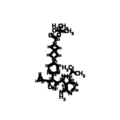 CC(C)n1nc(-c2noc(C3CC3)c2-c2ncc(N3CC4(CN(C(=O)OC(C)(C)C)C4)C3)cn2)c2c(N)ncnc21